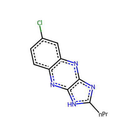 CCCc1nc2nc3cc(Cl)ccc3nc2[nH]1